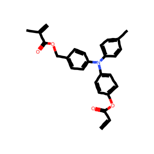 C=CC(=O)Oc1ccc(N(c2ccc(C)cc2)c2ccc(COC(=O)C(=C)C)cc2)cc1